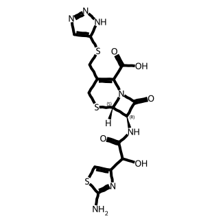 Nc1nc(C(O)C(=O)N[C@@H]2C(=O)N3C(C(=O)O)=C(CSc4cnn[nH]4)CS[C@@H]23)cs1